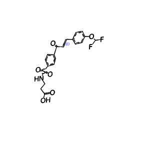 O=C(O)CCNS(=O)(=O)c1ccc(C(=O)/C=C/c2ccc(OC(F)F)cc2)cc1